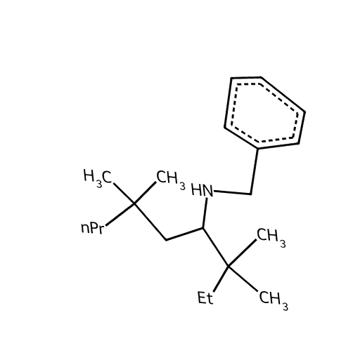 CCCC(C)(C)CC(NCc1ccccc1)C(C)(C)CC